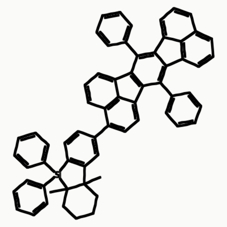 CC12CCCCC1(C)[Si](c1ccccc1)(c1ccccc1)c1ccc(-c3ccc4c5c(-c6ccccc6)c6c7cccc8cccc(c6c(-c6ccccc6)c5c5cccc3c54)c87)cc12